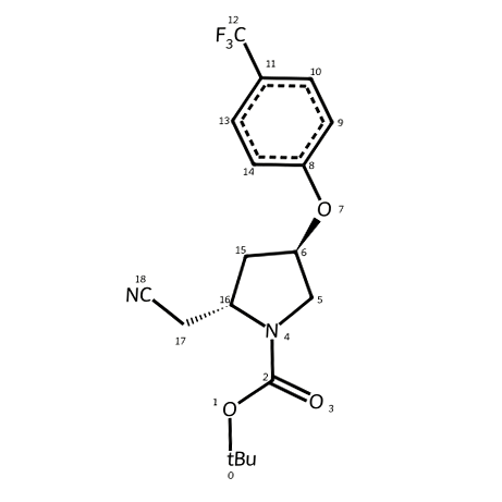 CC(C)(C)OC(=O)N1C[C@H](Oc2ccc(C(F)(F)F)cc2)C[C@H]1CC#N